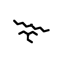 CCCCOCCCC.CCN(CC)CC